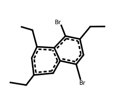 CCc1cc(CC)c2c(Br)c(CC)cc(Br)c2c1